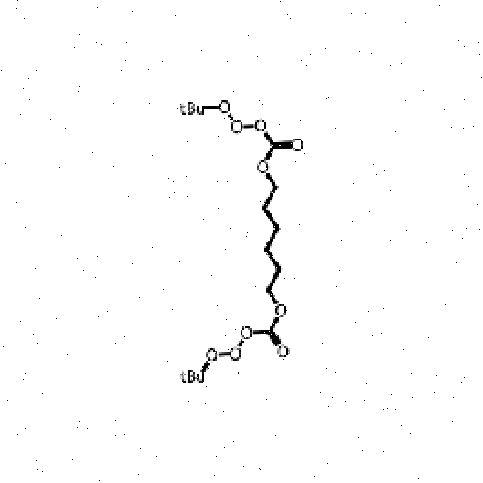 CC(C)(C)OOOC(=O)OCCCCCCOC(=O)OOOC(C)(C)C